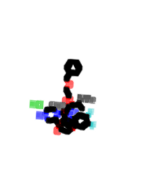 CNC(C)C(=O)NC(C=O)(C1CCCCC1)N1CCNCC1C(=O)c1cc2cc(F)c(F)cc2n1CCOCCOCc1ccccc1.Cl